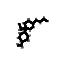 CCCCC1CCC(OC)(C2CCC(OC)CC2)CC1